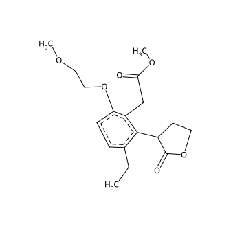 CCc1ccc(OCCOC)c(CC(=O)OC)c1C1CCOC1=O